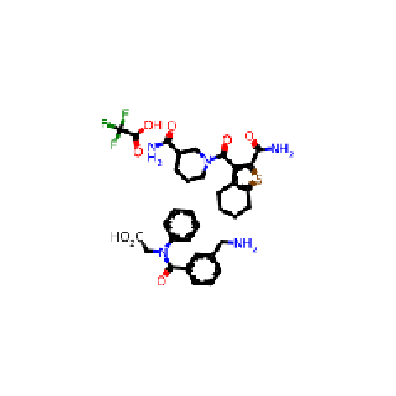 NC(=O)c1sc2c(c1C(=O)N1CCCC(C(N)=O)C1)CCCC2.NCc1cccc(C(=O)N(CC(=O)O)c2ccccc2)c1.O=C(O)C(F)(F)F